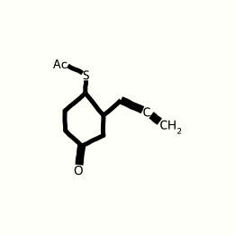 C=C=CC1CC(=O)CCC1SC(C)=O